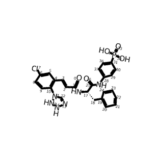 O=C(/C=C/c1cc(Cl)ccc1N1C=NNN1)N[C@@H](Cc1ccccc1)C(=O)Nc1ccc(P(=O)(O)O)cc1